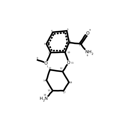 COc1cccc(C(N)=O)c1OC1CCC(N)CC1